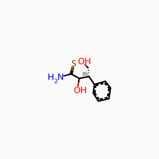 NC(=S)C(O)[C@H](CO)c1ccccc1